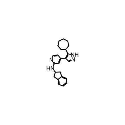 c1ccc2c(c1)CC(Nc1cc(-c3cn[nH]c3C3CCCCCC3)ccn1)C2